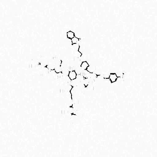 C[C@@H]([C@@H](O)[C@H](OCCO)O[C@@H]1[C@@H](O)[C@H](O[C@H]2OC(CNC(=O)OCc3ccc([N+](=O)[O-])cc3)=CC[C@H]2NCCCN2C(=O)c3ccccc3C2=O)[C@@H](NC(=O)OC(C)(C)C)C[C@H]1NC(=O)[C@@H](O)CCNC(=O)OC(C)(C)C)N(C)C(=O)OC(C)(C)C